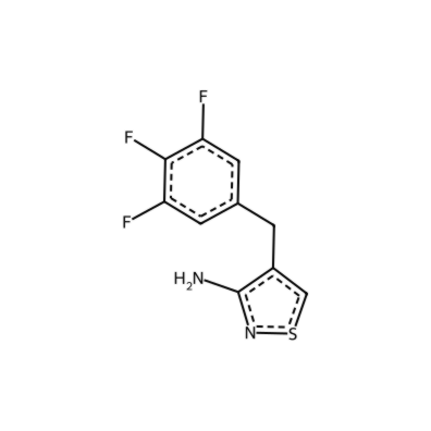 Nc1nscc1Cc1cc(F)c(F)c(F)c1